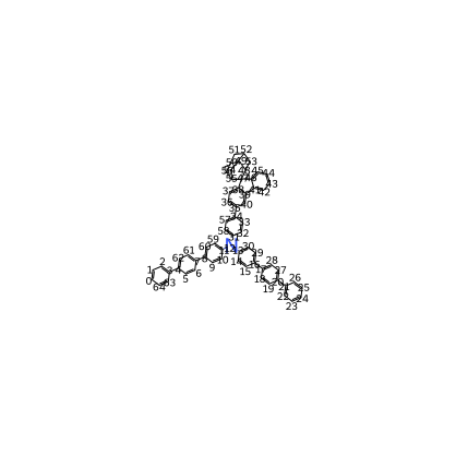 c1ccc(-c2ccc(-c3ccc(N(c4ccc(-c5ccc(-c6ccccc6)cc5)cc4)c4ccc(-c5ccc6c(c5)-c5ccccc5C65C6CC7CC(C6)CC5C7)cc4)cc3)cc2)cc1